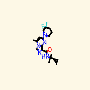 Cc1cc(N2CCCC(F)(F)C2)nc2c(C(=O)NC(C)(C)C3CC3)ncn12